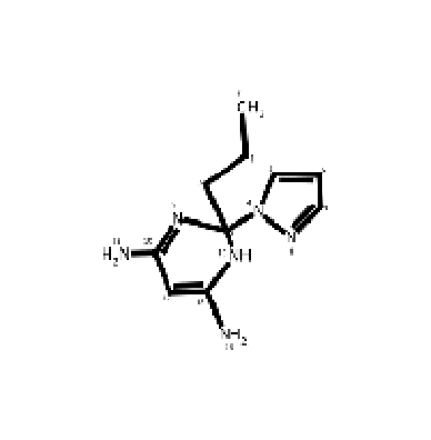 CCCC1(n2cccn2)N=C(N)C=C(N)N1